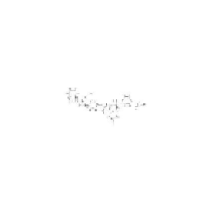 COc1cc(CC(=O)C(NC(=O)Nc2ccc(CC(=O)O)cc2)C2CCNC2)ccc1NC(=O)Nc1ccccc1C